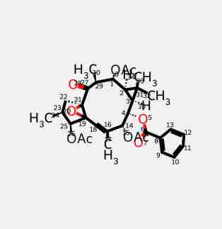 CC(=O)O[C@@H]1[C@@H]2[C@H]([C@H](OC(=O)c3ccccc3)[C@H](OC(C)=O)/C(C)=C\C34O[C@@]3(C[C@H](C)[C@@H]4OC(C)=O)C(=O)[C@H]1C)C2(C)C